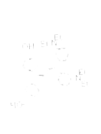 CCN(CC)c1cccc(C(=CC=C(c2ccc(CO)cc2)c2ccc(CO)cc2)c2cccc(N(CC)CC)c2)c1